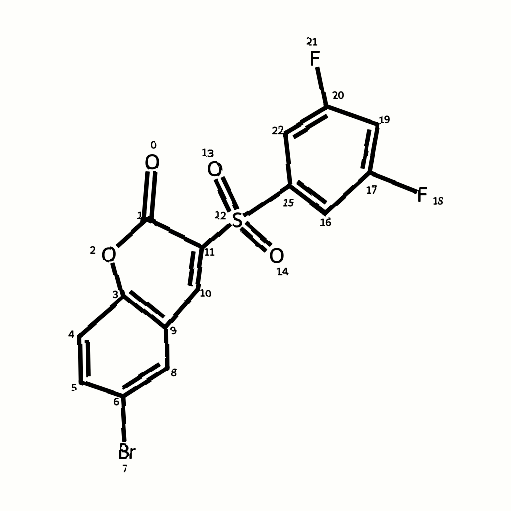 O=c1oc2ccc(Br)cc2cc1S(=O)(=O)c1cc(F)cc(F)c1